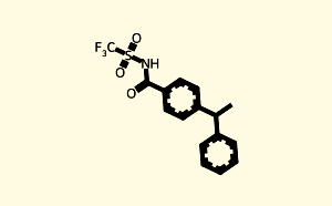 CC(c1ccccc1)c1ccc(C(=O)NS(=O)(=O)C(F)(F)F)cc1